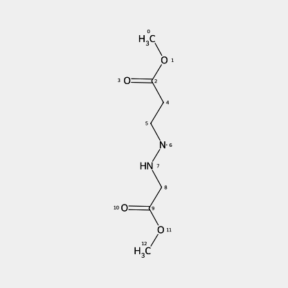 COC(=O)CC[N]NCC(=O)OC